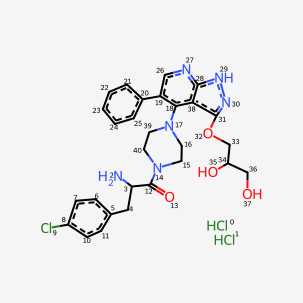 Cl.Cl.NC(Cc1ccc(Cl)cc1)C(=O)N1CCN(c2c(-c3ccccc3)cnc3[nH]nc(OCC(O)CO)c23)CC1